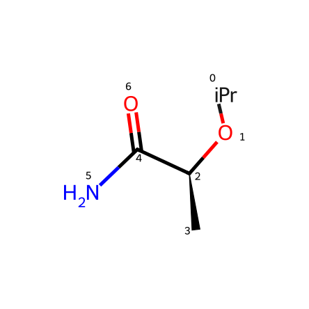 CC(C)O[C@@H](C)C(N)=O